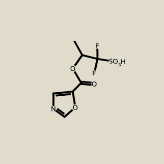 CC(OC(=O)c1cnco1)C(F)(F)S(=O)(=O)O